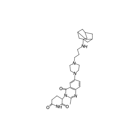 Cc1nc2ccc(N3CCN(CCCNC45CC6CC(CC(C6)C4)C5)CC3)cc2c(=O)n1C1CCC(=O)NC1=O